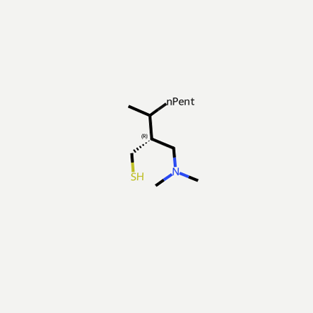 CCCCCC(C)[C@@H](CS)CN(C)C